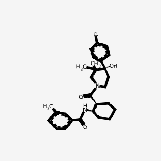 Cc1cccc(C(=O)N[C@@H]2CCCC[C@@H]2C(=O)N2CC[C@](O)(c3ccc(Cl)cc3)C(C)(C)C2)c1